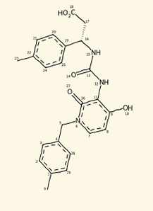 Cc1ccc(Cn2ccc(O)c(NC(=O)N[C@@H](CC(=O)O)c3ccc(C)cc3)c2=O)cc1